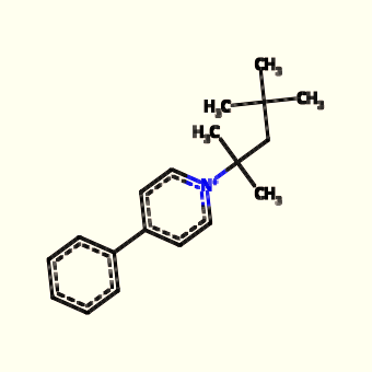 CC(C)(C)CC(C)(C)[n+]1ccc(-c2ccccc2)cc1